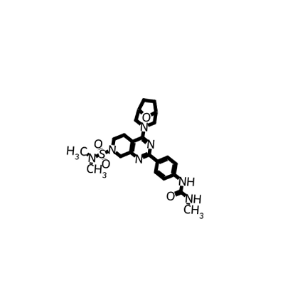 CNC(=O)Nc1ccc(-c2nc3c(c(N4CC5CCC(C4)O5)n2)CCN(S(=O)(=O)N(C)C)C3)cc1